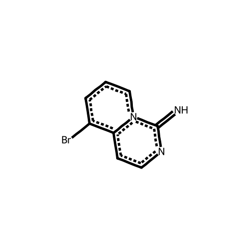 N=c1nccc2c(Br)cccn12